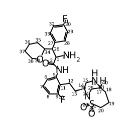 NC(C(=O)Nc1cccc(F)c1CC[C@H]1CN[C@@H]2CCCS(=O)(=O)N1C2)C(c1ccc(F)cc1)C1CCCCO1